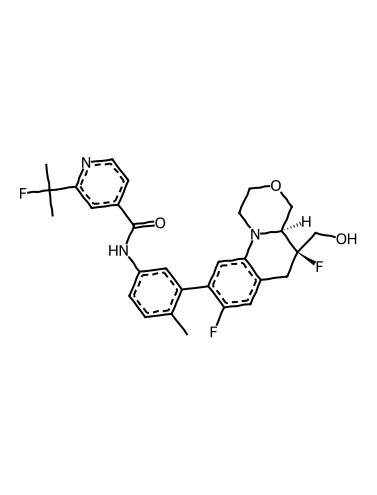 Cc1ccc(NC(=O)c2ccnc(C(C)(C)F)c2)cc1-c1cc2c(cc1F)C[C@@](F)(CO)[C@@H]1COCCN21